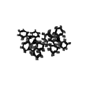 c1ccc(N(c2ccccc2)c2cccc3c2Oc2cc(-c4c5ccccc5c(N(c5ccccc5)c5ccccc5)c5ccccc45)cc4cccc-3c24)cc1